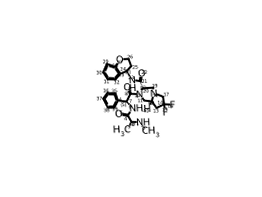 CN[C@@H](C)C(=O)N[C@H](C(=O)N1C[C@H]2CC(F)(F)CN2C[C@H]1C(=O)N[C@@H]1CCOc2ccccc21)c1ccccc1